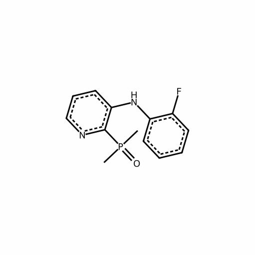 CP(C)(=O)c1ncccc1Nc1ccccc1F